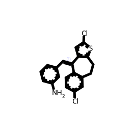 Nc1cccc(/C=C2\c3ccc(Cl)cc3CCc3sc(Cl)cc32)c1